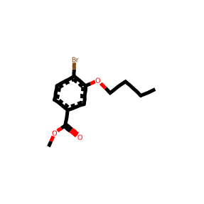 CCCCOc1cc(C(=O)OC)ccc1Br